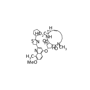 COc1ccc2c(O[C@@H]3C[C@H]4C(=O)N[C@]5(C(=O)O)C[C@H]5/C=C\CCCCN(C)C(=O)[C@@H]4C3)cc(C3CSC(C4CCCCC4)=N3)nc2c1C